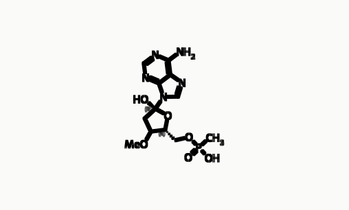 COC1C[C@](O)(n2cnc3c(N)ncnc32)O[C@@H]1COP(C)(=O)O